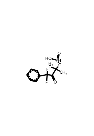 CC(C)(O[PH](=O)O)C(=O)C(F)(F)c1ccccc1